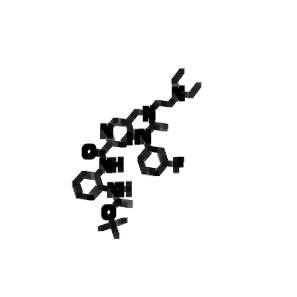 C=C(Nc1ccccc1NC(=O)c1ccc(CN(CCN(CC)CC)C(=C)Nc2cccc(F)c2)cn1)OC(C)(C)C